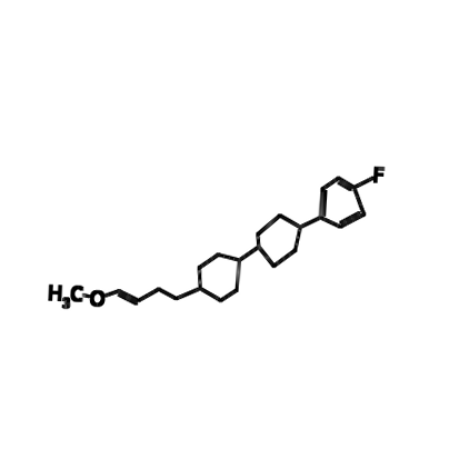 CO/C=C/CCC1CCC(C2CCC(c3ccc(F)cc3)CC2)CC1